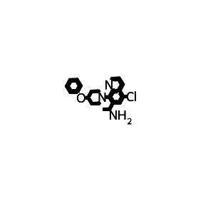 CC(N)c1cc(Cl)c2cccnc2c1N1CCC(Oc2ccccc2)CC1